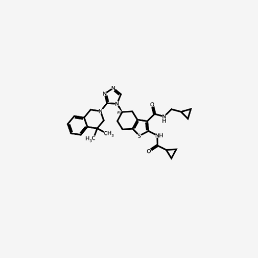 CC1(C)CN(c2nncn2[C@@H]2CCc3sc(NC(=O)C4CC4)c(C(=O)NCC4CC4)c3C2)Cc2ccccc21